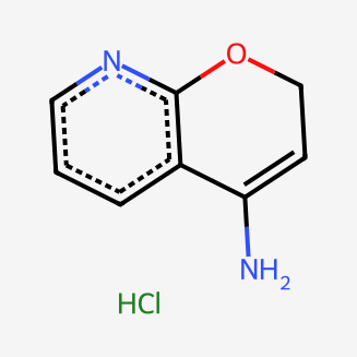 Cl.NC1=CCOc2ncccc21